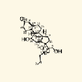 CCCC(=O)OC1(C(=O)CO)CC[C@H]2[C@@H]3CCC4=CC(=O)CC[C@]4(C)[C@H]3[C@@H](O)C[C@@]21C